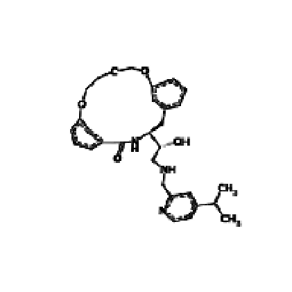 CC(C)c1ccnc(CNC[C@@H](O)[C@@H]2Cc3cccc(c3)OCCCCOc3cccc(c3)C(=O)N2)c1